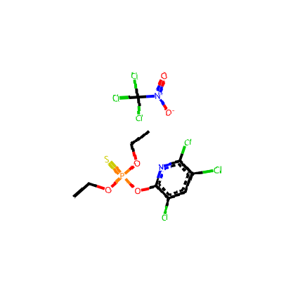 CCOP(=S)(OCC)Oc1nc(Cl)c(Cl)cc1Cl.O=[N+]([O-])C(Cl)(Cl)Cl